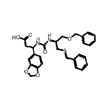 O=C(O)CC(NC(=O)NC(COCc1ccccc1)CSCc1ccccc1)c1ccc2c(c1)OCO2